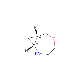 C1COC[C@H]2C[C@H]2N1